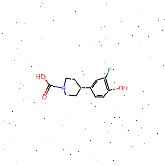 O=C(O)N1CCC(c2ccc(O)c(F)c2)CC1